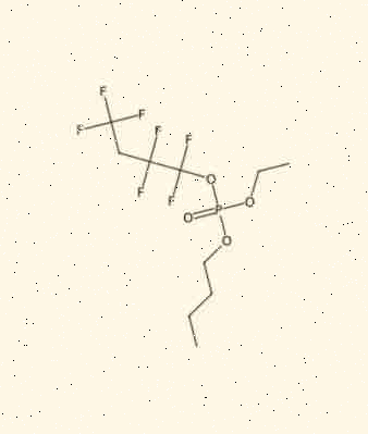 CCCCOP(=O)(OCC)OC(F)(F)C(F)(F)CC(F)(F)F